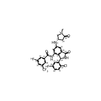 CN1C[C@@H](Nc2cc(NC(=O)c3cc(F)cc(C(F)(F)F)c3)c3c(c2)C(=O)NC3c2cc(F)ccc2Cl)CC1=O